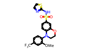 COc1cc(C(F)(F)F)ccc1N1CCOc2cc(S(=O)(=O)Nc3nccs3)ccc21